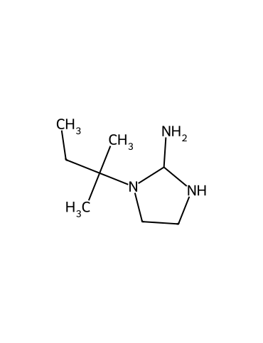 CCC(C)(C)N1CCNC1N